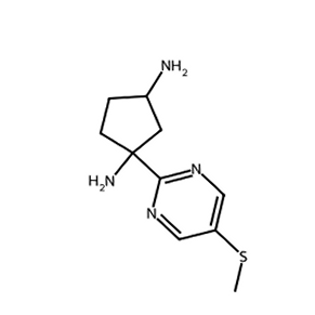 CSc1cnc(C2(N)CCC(N)C2)nc1